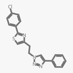 Clc1ccc(-c2nc(CCn3cc(-c4ccccc4)nn3)cs2)cc1